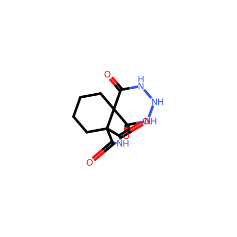 O=C1NNNC(=O)C12CCCCC21C(=O)NC1=O